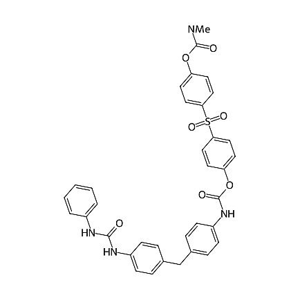 CNC(=O)Oc1ccc(S(=O)(=O)c2ccc(OC(=O)Nc3ccc(Cc4ccc(NC(=O)Nc5ccccc5)cc4)cc3)cc2)cc1